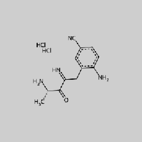 C[C@H](N)C(=O)C(=N)Cc1cc(C#N)ccc1N.Cl.Cl